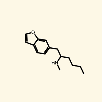 CCCCC(Cc1ccc2ccoc2c1)NC